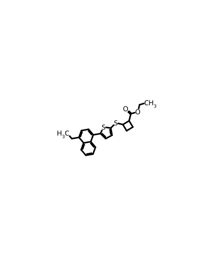 CCOC(=O)C1CCC1Sc1ccc(-c2ccc(CC)c3ccccc23)s1